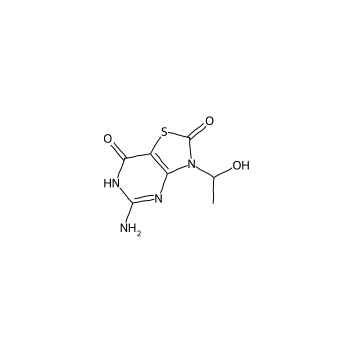 CC(O)n1c(=O)sc2c(=O)[nH]c(N)nc21